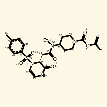 C=C(C)OC(=O)N1CCC(N(CC)C(=O)C[C@@H]2C(=O)NC=CN2S(=O)(=O)c2ccc(C)cc2)CC1